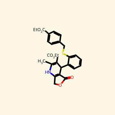 CCOC(=O)C1=C(C)NC2=C(C(=O)OC2)C1c1ccccc1SCc1ccc(C(=O)OCC)cc1